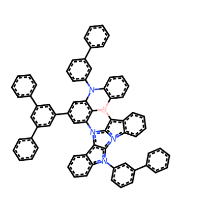 c1ccc(-c2cc(-c3ccccc3)cc(-c3cc4c5c(c3)-n3c6c7ccccc7n(-c7cccc(-c8ccccc8)c7)c6n6c7ccccc7c(c36)B5c3ccccc3N4c3cccc(-c4ccccc4)c3)c2)cc1